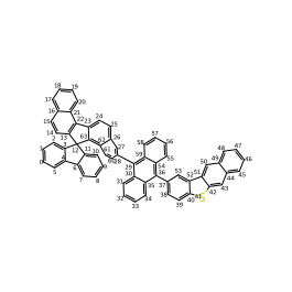 c1ccc2c(c1)-c1ccccc1C21c2ccc3ccccc3c2-c2ccc3cc(-c4c5ccccc5c(-c5ccc6sc7cc8ccccc8cc7c6c5)c5ccccc45)ccc3c21